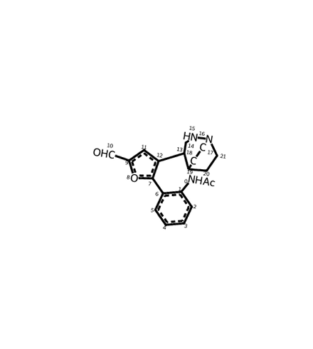 CC(=O)Nc1ccccc1-c1oc(C=O)cc1C1CNN2CCC1CC2